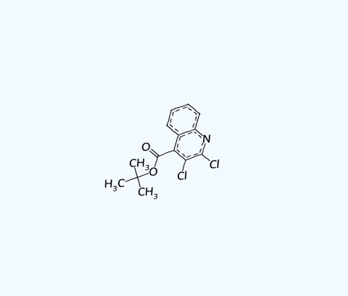 CC(C)(C)OC(=O)c1c(Cl)c(Cl)nc2ccccc12